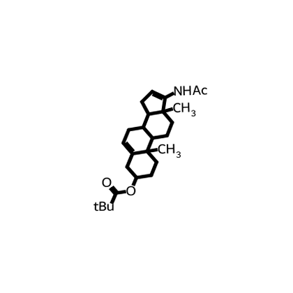 CC(=O)NC1=CCC2C3CC=C4CC(OC(=O)C(C)(C)C)CCC4(C)C3CCC12C